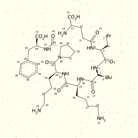 CC[C@H](C)[C@H](NC(=O)[C@H](CC(C)C)NC(=O)CCC(N)C(=O)O)C(=O)N[C@@H](CCCCN)C(=O)N[C@@H](CCCCN)C(=O)N1CCC[C@H]1C(=O)N[C@@H](Cc1ccccc1)C(=O)O